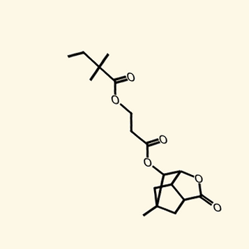 CCC(C)(C)C(=O)OCCC(=O)OC1C2OC(=O)C3CC1(C)CC32